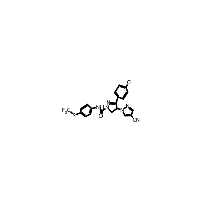 N#Cc1cnn(C2CN(C(=O)Nc3ccc(SC(F)(F)F)cc3)N=C2c2ccc(Cl)cc2)c1